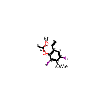 C=Cc1cc(I)c(OC)c(I)c1OC(C)OCC